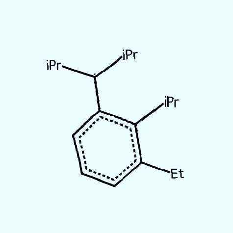 CCc1cccc([C](C(C)C)C(C)C)c1C(C)C